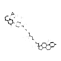 COc1c(N2CCN(C(=O)OCOC(=O)C(N)CC(=O)OCC(=O)[C@@]3(O)CCC4C5CCC6=CC(=O)C=C[C@]6(C)C5[C@@H](O)C[C@@]43C)C(C)C2)c(F)cc2c(=O)ccn(C3CC3)c12